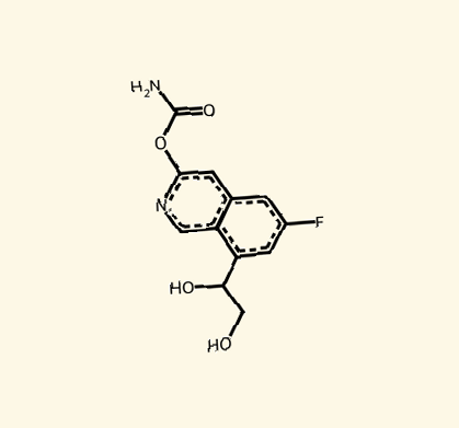 NC(=O)Oc1cc2cc(F)cc(C(O)CO)c2cn1